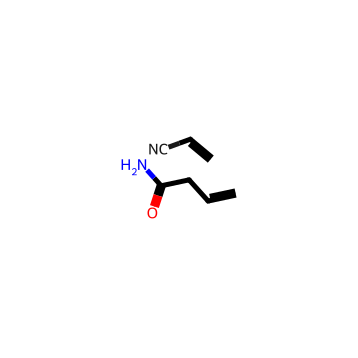 C=CC#N.C=CCC(N)=O